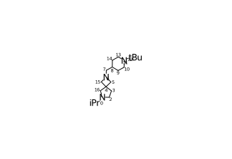 CC(C)N1CCC2(CN(CC3CCN(C(C)(C)C)CC3)C2)C1